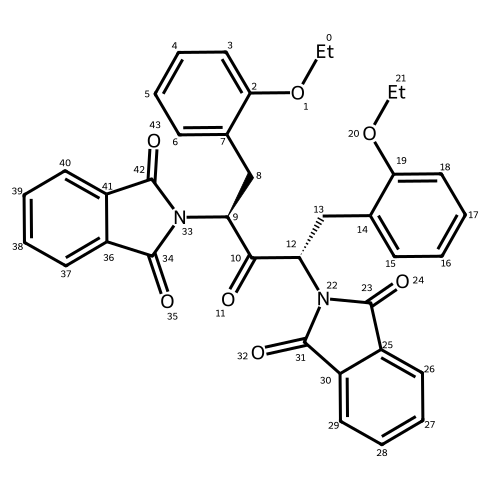 CCOc1ccccc1C[C@@H](C(=O)[C@H](Cc1ccccc1OCC)N1C(=O)c2ccccc2C1=O)N1C(=O)c2ccccc2C1=O